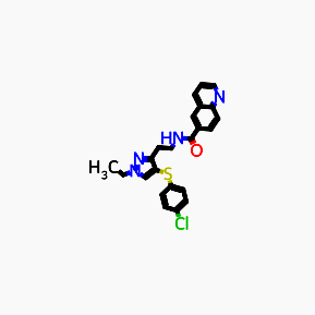 CCn1cc(Sc2ccc(Cl)cc2)c(CCNC(=O)c2ccc3ncccc3c2)n1